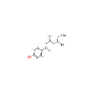 CCC(C)CC(CC)CC(CC)CC(CC)c1ccc(O)cc1